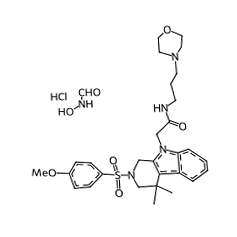 COc1ccc(S(=O)(=O)N2Cc3c(c4ccccc4n3CC(=O)NCCCN3CCOCC3)C(C)(C)C2)cc1.Cl.O=CNO